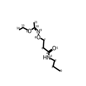 CCCNC(=O)CCON=C(C)OCC